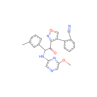 COc1cncc(NC(C(=O)c2nocc2-c2ccccc2C#N)c2cccc(C)c2)n1